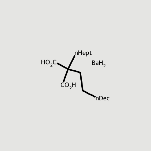 CCCCCCCCCCCCC(CCCCCCC)(C(=O)O)C(=O)O.[BaH2]